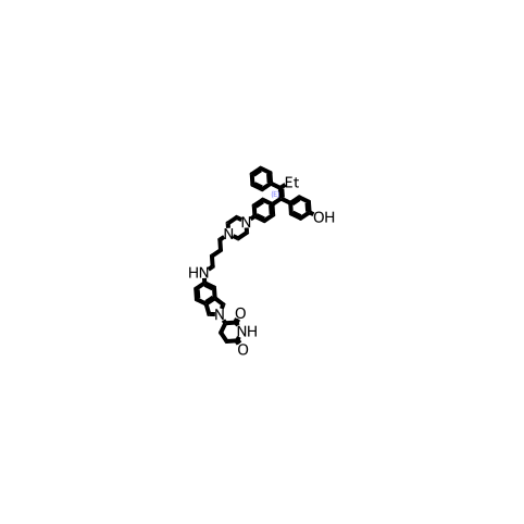 CC/C(=C(\c1ccc(O)cc1)c1ccc(N2CCN(CCCCNc3ccc4c(c3)CN(C3CCC(=O)NC3=O)C4)CC2)cc1)c1ccccc1